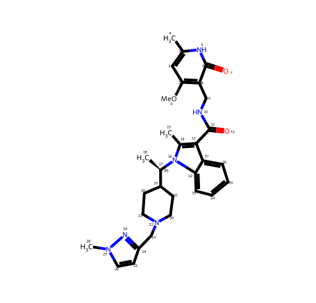 COc1cc(C)[nH]c(=O)c1CNC(=O)c1c(C)n([C@H](C)C2CCN(Cc3ccn(C)n3)CC2)c2ccccc12